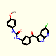 CCCCOc1ccc(NC(=O)Nc2cccc(C(=O)c3c[nH]c4ncc(Cl)cc34)c2)cc1